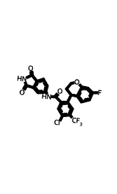 O=C1NC(=O)c2cc(NC(=O)c3cc(Cl)c(C(F)(F)F)cc3C3CCOc4cc(F)ccc43)ccc21